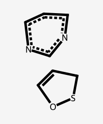 C1=COSC1.c1cncnc1